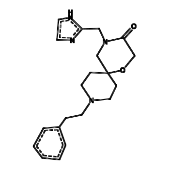 O=C1COC2(CCN(CCc3ccccc3)CC2)CN1Cc1ncc[nH]1